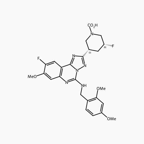 COc1ccc(CNc2nc3cc(OC)c(F)cc3c3nc([C@H]4C[C@@H](F)CN(C(=O)O)C4)nn23)c(OC)c1